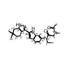 CCN(C(=O)CN(C)C(C)=O)c1ccc2cc(-c3n[nH]c4c3CCC(C)(C)C4)[nH]c2c1